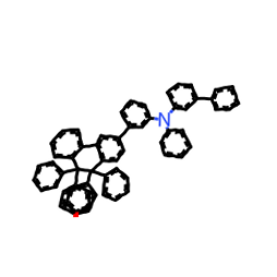 c1ccc(-c2cccc(N(c3ccccc3)c3cccc(-c4ccc5c(c4)-c4ccccc4C(c4ccccc4)(c4ccccc4)C5(c4ccccc4)c4ccccc4)c3)c2)cc1